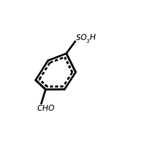 O=Cc1ccc(S(=O)(=O)O)cc1